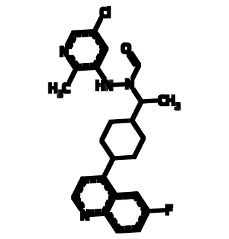 Cc1ncc(Cl)cc1NN(C=O)C(C)C1CCC(c2ccnc3ccc(F)cc23)CC1